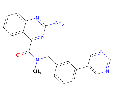 CN(Cc1cccc(-c2cncnc2)c1)C(=O)c1nc(N)nc2ccccc12